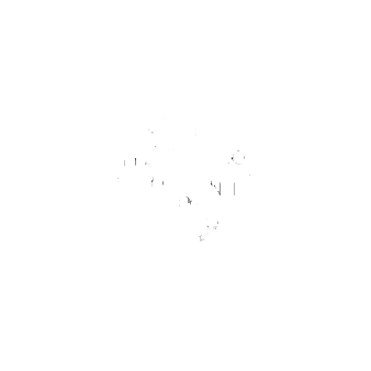 COC(=O)c1cccc(/C=C(\CNC(=O)OC(C)(C)C)OC)c1